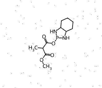 COC(=O)C(C)C(=O)OP1NC2CCCCC2N1